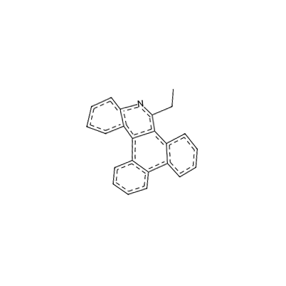 CCc1nc2ccccc2c2c3ccccc3c3ccccc3c12